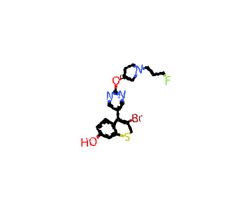 Oc1ccc2c(c1)SCC(Br)=C2c1cnc(O[C@H]2CCN(CCCF)C2)nc1